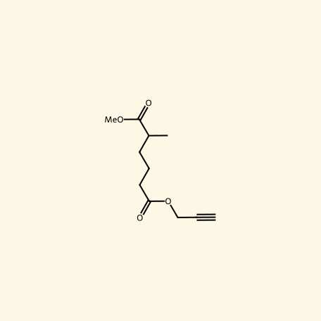 C#CCOC(=O)CCCC(C)C(=O)OC